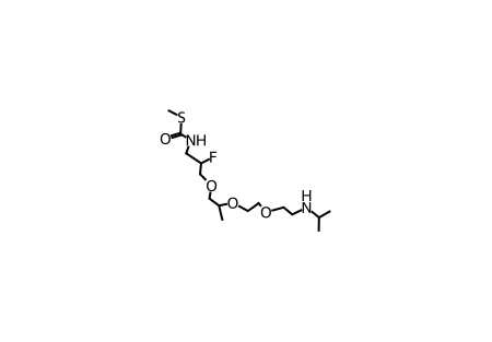 CSC(=O)NCC(F)COCC(C)OCCOCCNC(C)C